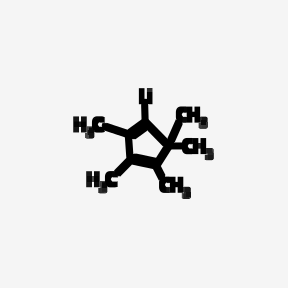 [Li][C]1=C(C)C(C)=C(C)C1(C)C